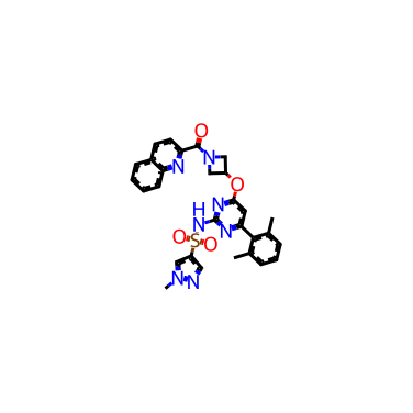 Cc1cccc(C)c1-c1cc(OC2CN(C(=O)c3ccc4ccccc4n3)C2)nc(NS(=O)(=O)c2cnn(C)c2)n1